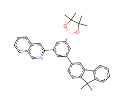 CC1(C)c2ccccc2-c2cc(-c3cc(B4OC(C)(C)C(C)(C)O4)cc(-c4cc5ccccc5cn4)c3)ccc21